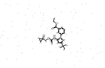 CCOC(=O)c1cccc(-n2nc(C(C)(C)C)cc2NC(=O)OCC2(Cl)CC2)c1